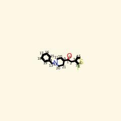 O=C(Cc1ccsc1F)C1=CCN(Cc2ccccc2)CC1